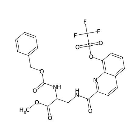 COC(=O)C(CNC(=O)c1ccc2cccc(OS(=O)(=O)C(F)(F)F)c2n1)NC(=O)OCc1ccccc1